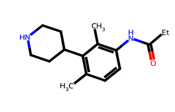 CCC(=O)Nc1ccc(C)c(C2CCNCC2)c1C